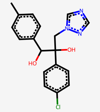 Cc1ccc(C(O)C(O)(Cn2cncn2)c2ccc(Cl)cc2)cc1